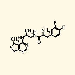 C[C@@H]1SCc2ncnc(N[C@@H](C)CNC(=O)C(N)Cc3ccc(F)c(F)c3)c21